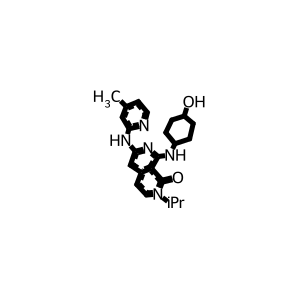 Cc1ccnc(Nc2cc3ccn(C(C)C)c(=O)c3c(NC3CCC(O)CC3)n2)c1